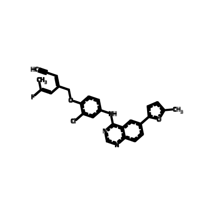 C#C/C=C(\C=C(/C)F)COc1ccc(Nc2ncnc3ccc(-c4ccc(C)o4)cc23)cc1Cl